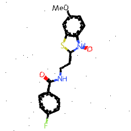 COc1ccc2c(c1)SC(CCNC(=O)c1ccc(F)cc1)[N+]2=O